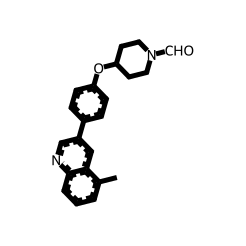 Cc1cccc2ncc(-c3ccc(OC4CCN(C=O)CC4)cc3)cc12